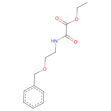 CCOC(=O)C(=O)NCCOCc1ccccc1